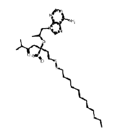 CCCCCCCCCCCCSSCCC(CC(=O)C(C)C)(OC(C)Cn1cnc2c(N)ncnc21)P(=O)=O